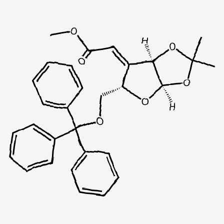 COC(=O)/C=C1/[C@H]2OC(C)(C)O[C@H]2O[C@@H]1COC(c1ccccc1)(c1ccccc1)c1ccccc1